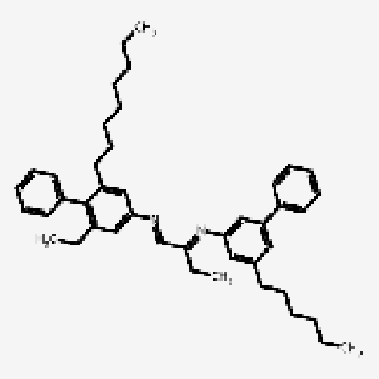 CCCCCCCCc1cc(N=CC(CC)=Nc2cc(CCCCCC)cc(-c3ccccc3)c2)cc(CC)c1-c1ccccc1